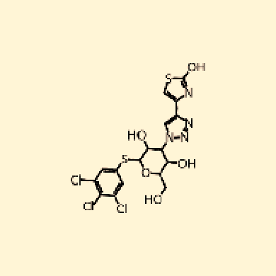 OCC1OC(Sc2cc(Cl)c(Cl)c(Cl)c2)C(O)C(n2cc(-c3csc(O)n3)nn2)C1O